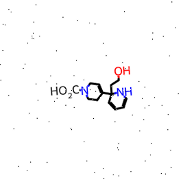 O=C(O)N1CC=C(C2(CCO)C=CC=CN2)CC1